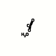 O.[O]=[Ce]=[O]